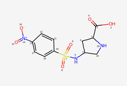 O=C(O)C1CC(NS(=O)(=O)c2ccc([N+](=O)[O-])cc2)CN1